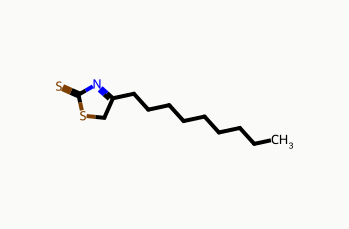 CCCCCCCCCC1=NC(=S)SC1